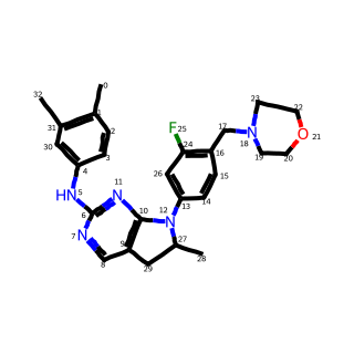 Cc1ccc(Nc2ncc3c(n2)N(c2ccc(CN4CCOCC4)c(F)c2)C(C)C3)cc1C